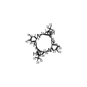 Cc1cc2ncc3cc(C(C)(C)C)cc(cnc4cc(C)c(C)cc4ncc4cc(C(C)(C)C)cc(cnc2cc1C)c4O)c3O